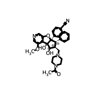 COc1cncc2c1[C@]1(O)[C@H](O)[C@H](CN3CCN(C(C)=O)CC3)[C@@H](c3ccccc3)[C@]1(c1ccc(C#N)cc1)O2